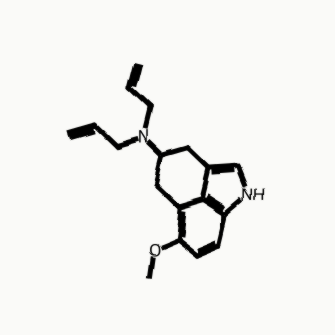 C=CCN(CC=C)C1Cc2c[nH]c3ccc(OC)c(c23)C1